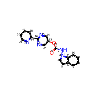 O=C(Nn1ccc2ccccc21)Oc1cnc(-c2ccccn2)nc1